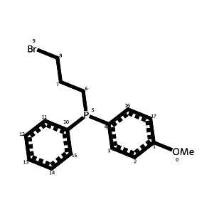 COc1ccc(P(CCCBr)c2ccccc2)cc1